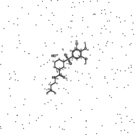 COc1cc(S(=O)(=O)C2CCCN(C(=O)NCCN(C)C)C2)cc(Cl)c1OC.Cl